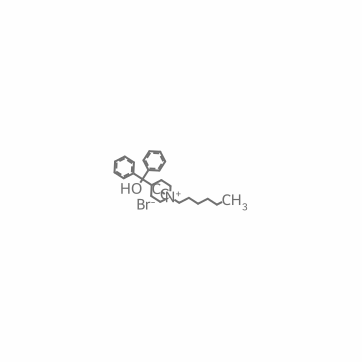 CCCCCC[N+]12CCC(C(O)(c3ccccc3)c3ccccc3)(CC1)CC2.[Br-]